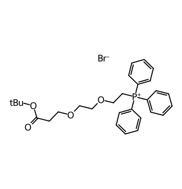 CC(C)(C)OC(=O)CCOCCOCC[P+](c1ccccc1)(c1ccccc1)c1ccccc1.[Br-]